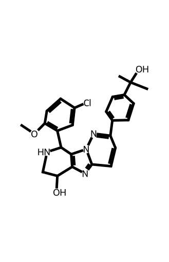 COc1ccc(Cl)cc1C1NCC(O)c2nc3ccc(-c4ccc(C(C)(C)O)cc4)nn3c21